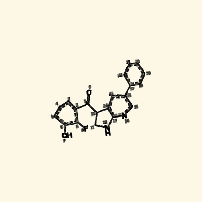 O=C(c1cccc(O)c1F)C1CNc2ncc(-c3ccccc3)cc21